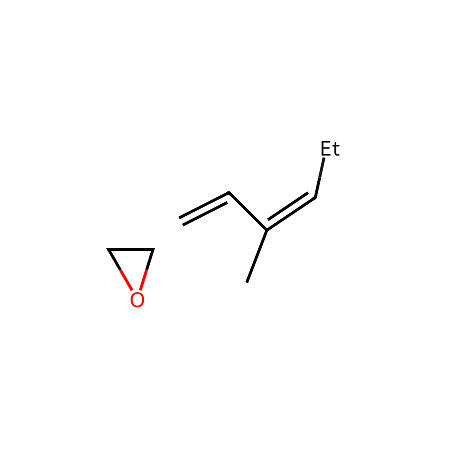 C1CO1.C=CC(C)=CCC